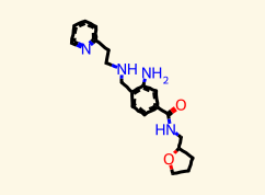 Nc1cc(C(=O)NCC2CCCO2)ccc1CNCCc1ccccn1